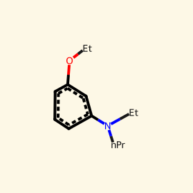 CCCN(CC)c1cccc(OCC)c1